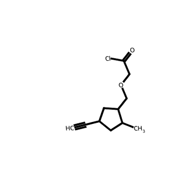 C#CC1CC(C)C(COCC(=O)Cl)C1